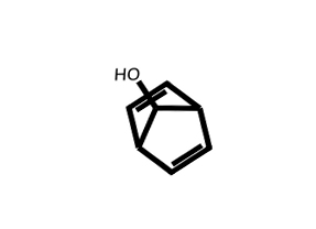 OC1C2C=CC1C=C2